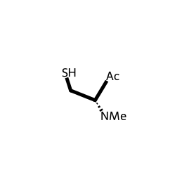 CN[C@H](CS)C(C)=O